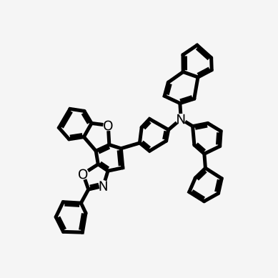 c1ccc(-c2cccc(N(c3ccc(-c4cc5nc(-c6ccccc6)oc5c5c4oc4ccccc45)cc3)c3ccc4ccccc4c3)c2)cc1